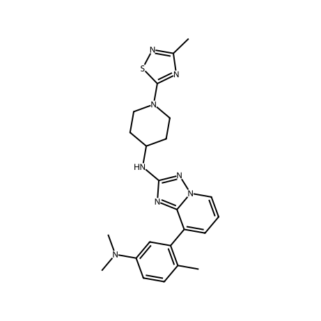 Cc1nsc(N2CCC(Nc3nc4c(-c5cc(N(C)C)ccc5C)cccn4n3)CC2)n1